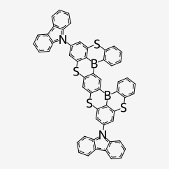 c1ccc2c(c1)Sc1cc(-n3c4ccccc4c4ccccc43)cc3c1B2c1cc2c(cc1S3)Sc1cc(-n3c4ccccc4c4ccccc43)cc3c1B2c1ccccc1S3